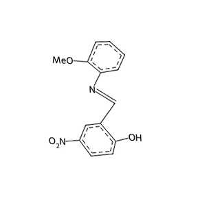 COc1ccccc1/N=C/c1cc([N+](=O)[O-])ccc1O